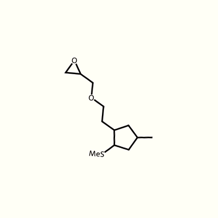 CSC1CC(C)CC1CCOCC1CO1